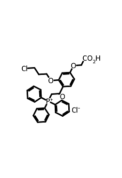 O=C(O)COc1ccc(C(=O)C[P+](c2ccccc2)(c2ccccc2)c2ccccc2)c(OCCCCl)c1.[Cl-]